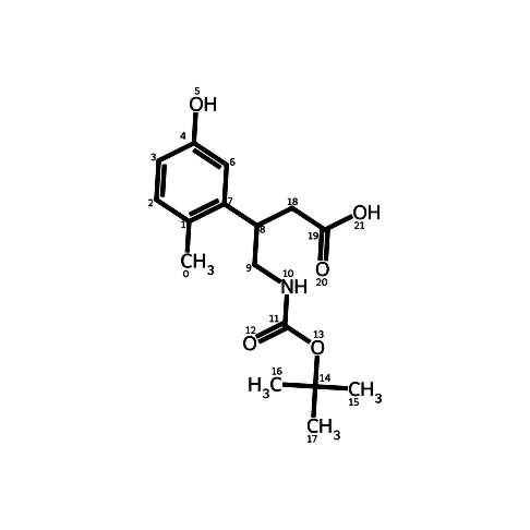 Cc1ccc(O)cc1C(CNC(=O)OC(C)(C)C)CC(=O)O